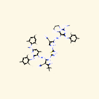 CNc1n/c(=N\c2c(C)cc(C)cc2C)c(N=Nc2nn(-c3nnc(-n4nc(C(C)(C)C)c(C#N)c4N=Nc4c(C)cc(N(C)c5c(C)cc(C)cc5C)nc4Nc4c(C)cc(C)cc4C)s3)cc2C#N)c2n1CCCN2